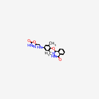 Cc1cc(NCc2n[nH]c(=O)o2)cc(C)c1Oc1n[nH]c(=O)c2ccccc12